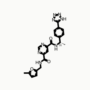 Cc1ccc(CNC(=O)c2cc(C(=O)N[C@@H](C)c3ccc(-c4nnn[nH]4)cc3)ncn2)o1